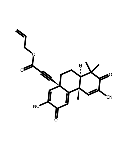 C=CCOC(=O)C#C[C@]12C=C(C#N)C(=O)C=C1[C@@]1(C)C=C(C#N)C(=O)C(C)(C)[C@@H]1CC2